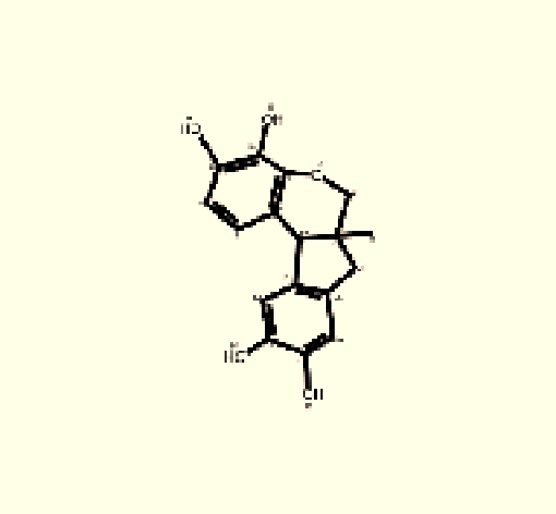 CC12COc3c(ccc(O)c3O)C1c1cc(O)c(O)cc1C2